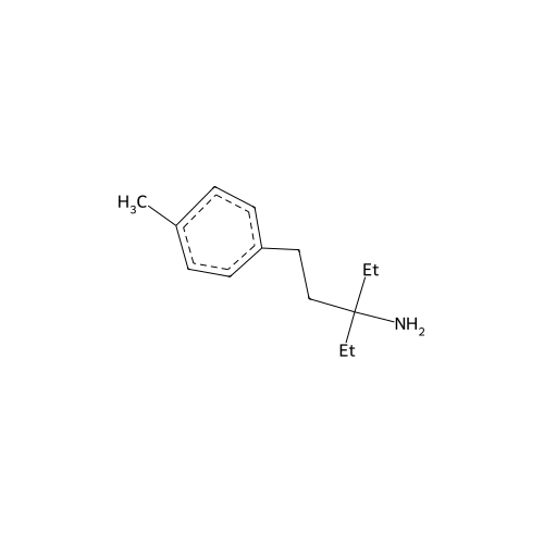 CCC(N)(CC)CCc1ccc(C)cc1